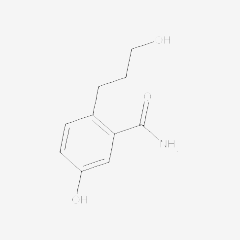 NC(=O)c1cc(O)ccc1C[CH]CO